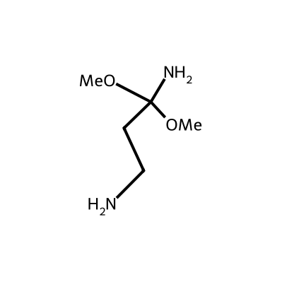 COC(N)(CCN)OC